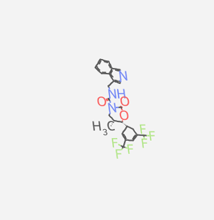 C[C@@H]1CN(C(=O)NCc2cncc3ccccc23)C(=O)O[C@@H]1C1C=C(C(F)(F)F)C=C(C(F)(F)F)C1